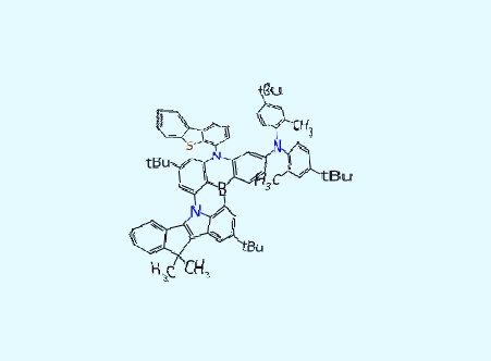 Cc1cc(C(C)(C)C)ccc1N(c1ccc2c(c1)N(c1cccc3c1sc1ccccc13)c1cc(C(C)(C)C)cc3c1B2c1cc(C(C)(C)C)cc2c4c(n-3c12)-c1ccccc1C4(C)C)c1ccc(C(C)(C)C)cc1C